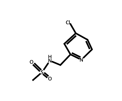 CS(=O)(=O)NCc1cc(Cl)ccn1